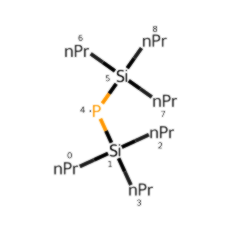 CCC[Si](CCC)(CCC)[P][Si](CCC)(CCC)CCC